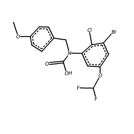 COc1ccc(CN(C(=O)O)c2cc(OC(F)F)cc(Br)c2Cl)cc1